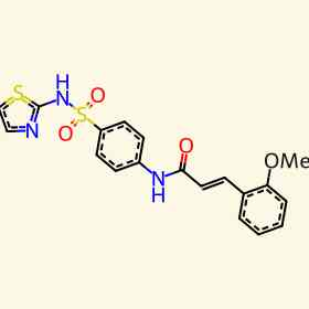 COc1ccccc1/C=C/C(=O)Nc1ccc(S(=O)(=O)Nc2nccs2)cc1